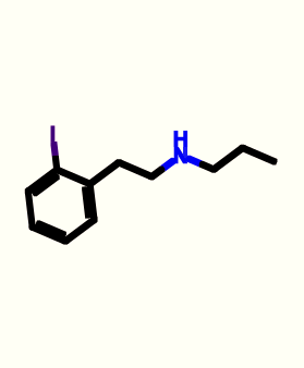 CCCNCCc1ccccc1I